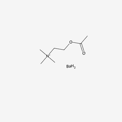 CC(=O)OCC[N+](C)(C)C.[BaH2]